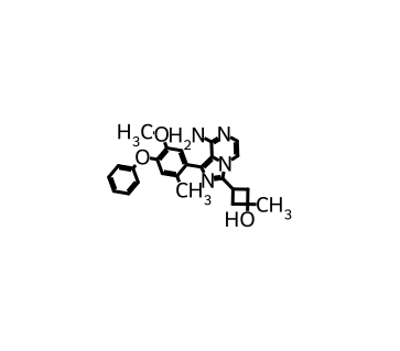 COc1cc(-c2nc(C3CC(C)(O)C3)n3ccnc(N)c23)c(C)cc1Oc1ccccc1